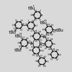 CC(C)(C)c1cccc(-c2cc(-c3cccc(C(C)(C)C)c3)cc(-c3cc4c5c(c3)N(c3cc(C(C)(C)C)cc(C(C)(C)C)c3)c3ccc(-c6ccccc6)cc3B5c3cc(-c5ccccc5)ccc3N4c3cc(C(C)(C)C)cc(C(C)(C)C)c3)c2)c1